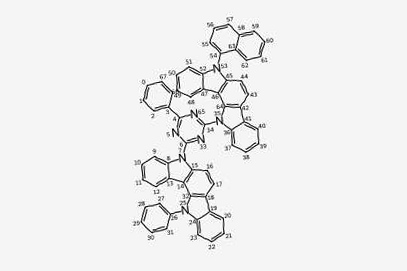 c1ccc(-c2nc(-n3c4ccccc4c4c3ccc3c5ccccc5n(-c5ccccc5)c34)nc(-n3c4ccccc4c4ccc5c(c6ccccc6n5-c5cccc6ccccc56)c43)n2)cc1